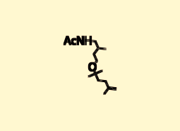 C=C(C)CCC(C)(C)OCCC(C)CNC(C)=O